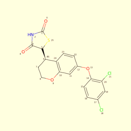 O=C1NC(=O)C([C@@H]2CCOc3cc(Oc4ccc(Cl)cc4Cl)ccc32)S1